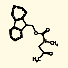 CC(=O)CN(C)C(=O)OCC1c2ccccc2-c2ccccc21